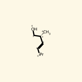 CC(C)/C=C/[C@@H](C)CO